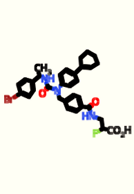 CC(NC(=O)N(Cc1ccc(C(=O)NCC(F)C(=O)O)cc1)c1ccc(C2=CCCCC2)cc1)c1ccc(Br)cc1